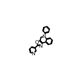 c1ccc(N2Cc3oc(-c4cccnc4)nc3-c3ccccc32)cc1